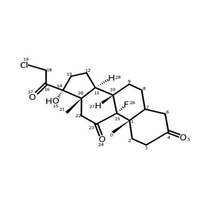 C[C@]12CCC(=O)CC1CC[C@H]1[C@@H]3CC[C@](O)(C(=O)CCl)[C@@]3(C)CC(=O)[C@@]12F